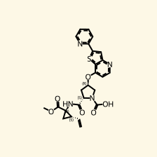 C=C[C@@H]1C[C@]1(NC(=O)[C@@H]1C[C@@H](Oc2ccnc3cc(-c4ccccn4)sc23)CN1C(=O)O)C(=O)OC